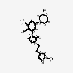 CCn1cc(CCn2ccn(-c3cc(N4CCO[C@H](C)C4)cc(C(F)(F)F)c3F)c2=O)cn1